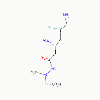 CN(CC(=O)O)NC(=O)C[C@H](N)CC(F)CN